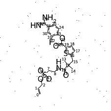 C=CCOS(=O)(=O)CCNC(=O)C(C)(C)Cc1ccc(C(=O)Oc2ccc(C(=N)N)cc2F)s1